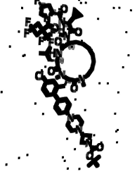 CC(C)C[C@@H]1NC(=O)[C@@H](N(C)C(=O)[C@@H](NC(=O)[C@@H]2C[C@@H](F)CN2C(=O)C2(C(F)(F)F)CC(F)(F)C2)C2CC2)CCCCCCCN(C)C(=O)[C@H](Cc2cc(Cl)ccc2-c2ccc(N3CCN(C4CN(C(=O)OC(C)(C)C)C4)CC3)cc2)N(C)C1=O